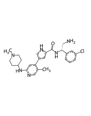 Cc1cnc(NC2CCN(C)CC2)cc1-c1c[nH]c(C(=O)N[C@H](CN)c2cccc(Cl)c2)c1